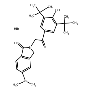 Br.CN(C)c1ccc2c(c1)CN(CC(=O)c1cc(C(C)(C)C)c(O)c(C(C)(C)C)c1)C2=N